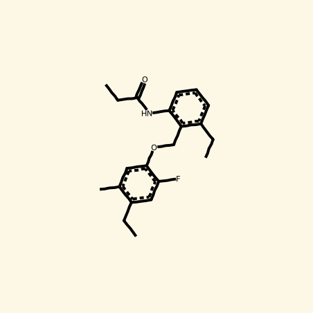 CCC(=O)Nc1cccc(CC)c1COc1cc(C)c(CC)cc1F